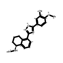 CCCN[C@H]1CCCc2c(-c3noc(-c4ccc(OC(C)C)c(C#N)c4)n3)cccc21